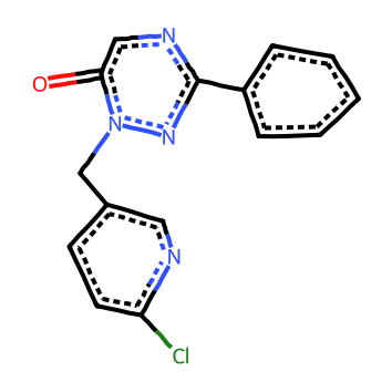 O=c1cnc(-c2ccccc2)nn1Cc1ccc(Cl)nc1